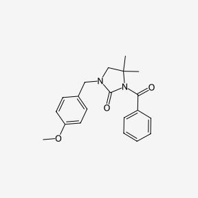 COc1ccc(CN2CC(C)(C)N(C(=O)c3ccccc3)C2=O)cc1